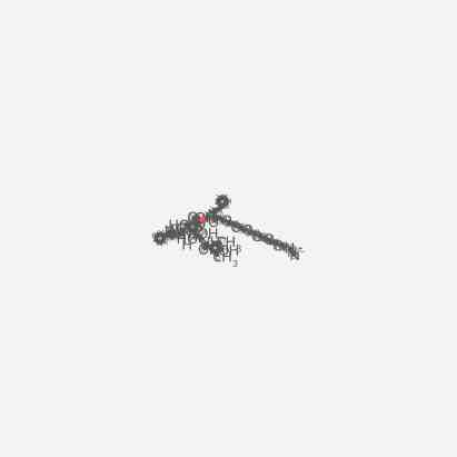 Cc1cc(C(=O)NC[C@@H](O)[C@@H](O)C2O[C@@](OCCCN(CCc3ccccc3)C(=O)CCOCCOCCOCCOCCOCCOCCN=[N+]=[N-])(C(=O)O)CC(O)[C@H]2NC(=O)Cn2cc(C3CCCCC3)nn2)cc(C)c1O